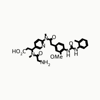 COc1cc(CC(=O)N(C)c2ccc(C(CC(=O)O)N(C)C(=O)CN)cn2)ccc1NC(=O)Nc1ccccc1C